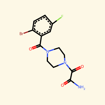 NC(=O)C(=O)N1CCN(C(=O)c2cc(F)ccc2Br)CC1